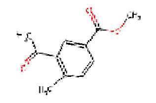 COC(=O)c1ccc(C)c(C(C)=O)c1